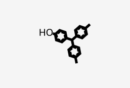 Cc1ccc(C(c2ccc(C)cc2)c2ccc(O)cc2)cc1